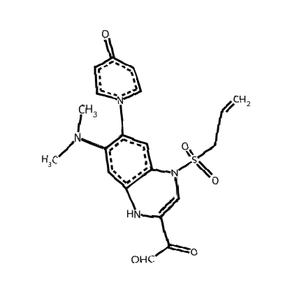 C=CCS(=O)(=O)N1C=C(C(=O)C=O)Nc2cc(N(C)C)c(-n3ccc(=O)cc3)cc21